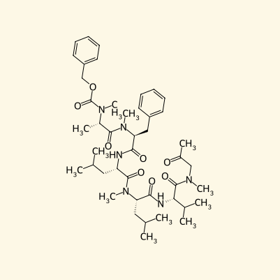 CC(=O)CN(C)C(=O)[C@@H](NC(=O)[C@H](CC(C)C)N(C)C(=O)[C@H](CC(C)C)NC(=O)[C@H](Cc1ccccc1)N(C)C(=O)[C@H](C)N(C)C(=O)OCc1ccccc1)C(C)C